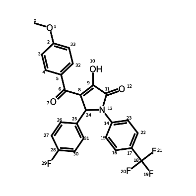 COc1ccc(C(=O)C2=C(O)C(=O)N(c3ccc(C(F)(F)F)cc3)C2c2ccc(F)cc2)cc1